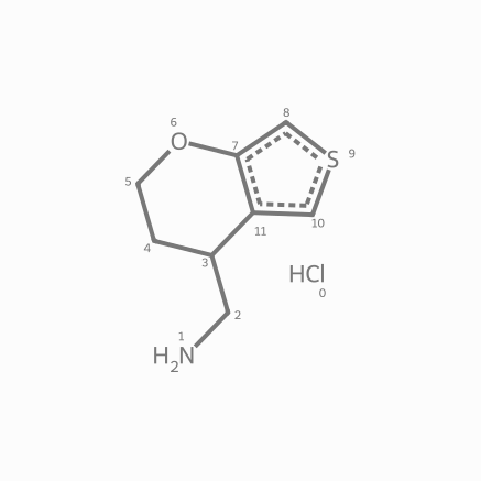 Cl.NCC1CCOc2cscc21